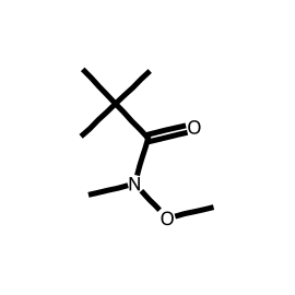 CON(C)C(=O)C(C)(C)C